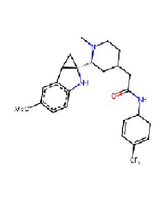 COc1ccc2c(c1)C1C[C@@]1(C1CC(CC(=O)NC3C=CC(C(F)(F)F)=CC3)CCN1C)N2